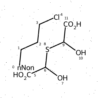 CCCCCCCCCCCCCl.O=C(O)C(O)SC(O)C(=O)O